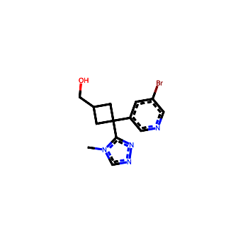 Cn1cnnc1C1(c2cncc(Br)c2)CC(CO)C1